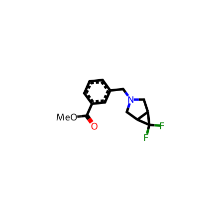 COC(=O)c1cccc(CN2CC3C(C2)C3(F)F)c1